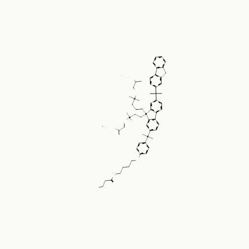 CCC(COC(C)(CC)CCC1(CCCC(C)(CC)OCC(C)OC)c2cc(C(C)(C)c3ccc(OCCCCNC(=O)CCC(=O)O)cc3)ccc2-c2ccc(C(C)(C)c3ccc4c(c3)Cc3ccccc3-4)cc21)OC